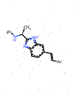 CC(=O)/C=C/c1ccc2nc([C@H](C)NC(C)C)[nH]c2c1